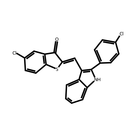 O=C1C(=Cc2c(-c3ccc(Cl)cc3)[nH]c3ccccc23)Sc2ccc(Cl)cc21